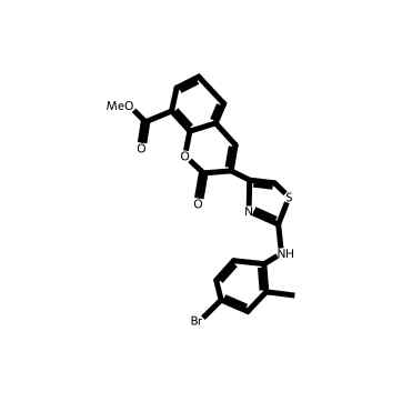 COC(=O)c1cccc2cc(-c3csc(Nc4ccc(Br)cc4C)n3)c(=O)oc12